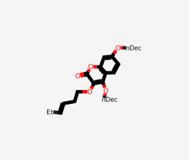 CCC=CCCOc1c(OCCCCCCCCCC)c2ccc(OCCCCCCCCCC)cc2oc1=O